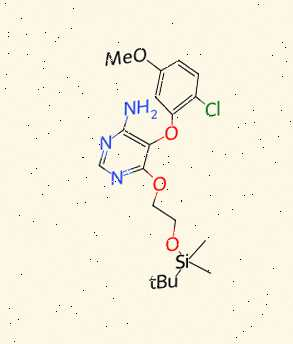 COc1ccc(Cl)c(Oc2c(N)ncnc2OCCO[Si](C)(C)C(C)(C)C)c1